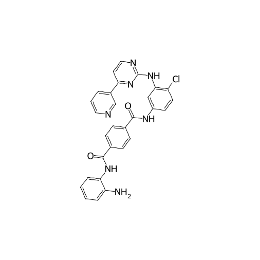 Nc1ccccc1NC(=O)c1ccc(C(=O)Nc2ccc(Cl)c(Nc3nccc(-c4cccnc4)n3)c2)cc1